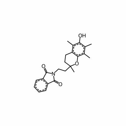 Cc1c(C)c2c(c(C)c1O)CCC(C)(CCN1C(=O)c3ccccc3C1=O)O2